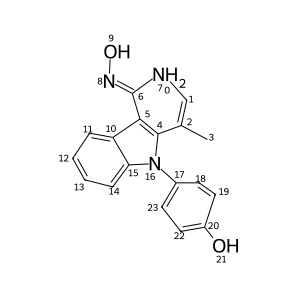 C/C=C(/C)c1c(/C(N)=N/O)c2ccccc2n1-c1ccc(O)cc1